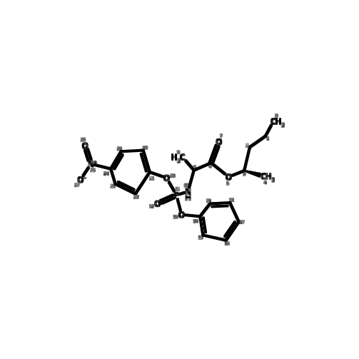 CCC[C@@H](C)OC(=O)C(C)NP(=O)(Oc1ccccc1)Oc1ccc([N+](=O)[O-])cc1